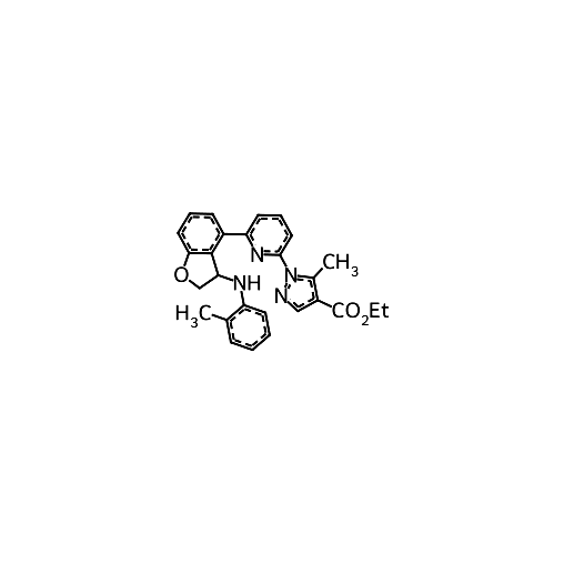 CCOC(=O)c1cnn(-c2cccc(-c3cccc4c3C(Nc3ccccc3C)CO4)n2)c1C